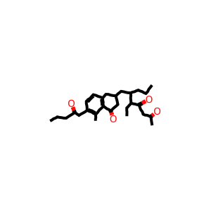 CCCC(=O)Cc1ccc2c(c1C)C(=O)CC(CC(CCC)C(CC)C(=O)CC(C)=O)C2